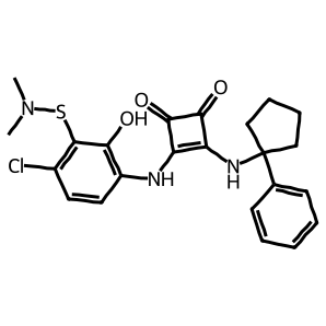 CN(C)Sc1c(Cl)ccc(Nc2c(NC3(c4ccccc4)CCCC3)c(=O)c2=O)c1O